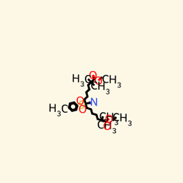 CCOC(=O)C(C)(C)CCCCCC(C#N)(CCCCCC(C)(C)C(=O)OCC)S(=O)(=O)c1ccc(C)cc1